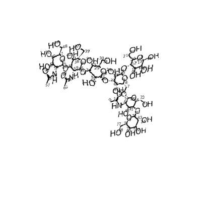 CC(=O)N[C@H]1[C@H](OC[C@H]2O[C@@H](O[C@H]3[C@H](O)[C@@H](O)[C@H](O)O[C@@H]3CO)[C@H](O)[C@@H](O[C@H]3O[C@H](CO)[C@H](O)[C@H](O[C@@H]4O[C@H](CO)[C@H](O)[C@H](O[C@H]5O[C@H](CO)[C@H](O)[C@H](O)[C@H]5NC(C)=O)[C@H]4NC(C)=O)[C@H]3O)[C@H]2O)O[C@H](CO)[C@@H](O[C@@H]2O[C@H](CO)[C@H](O)[C@H](O)[C@H]2O)[C@@H]1O